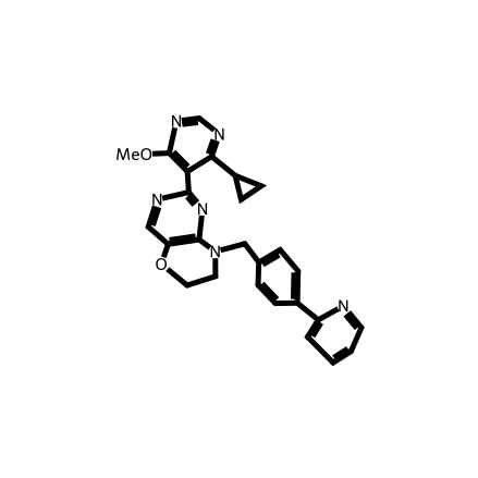 COc1ncnc(C2CC2)c1-c1ncc2c(n1)N(Cc1ccc(-c3ccccn3)cc1)CCO2